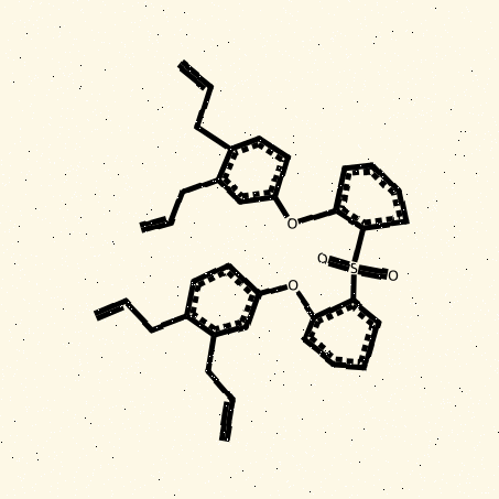 C=CCc1ccc(Oc2ccccc2S(=O)(=O)c2ccccc2Oc2ccc(CC=C)c(CC=C)c2)cc1CC=C